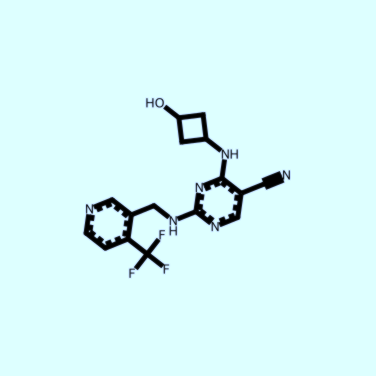 N#Cc1cnc(NCc2cnccc2C(F)(F)F)nc1NC1CC(O)C1